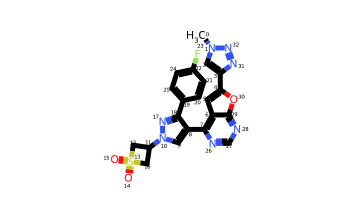 Cn1cc(-c2cc3c(-c4cn(C5CS(=O)(=O)C5)nc4-c4ccc(F)cc4)ncnc3o2)nn1